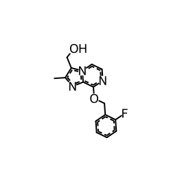 Cc1nc2c(OCc3ccccc3F)nccn2c1CO